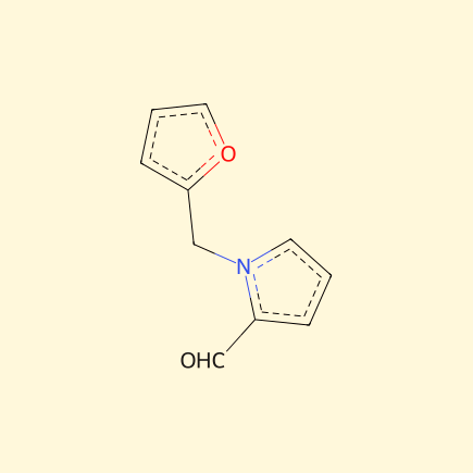 O=Cc1cccn1Cc1ccco1